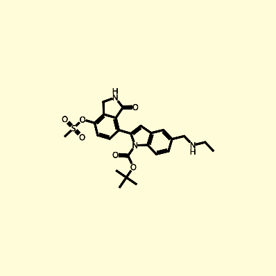 CCNCc1ccc2c(c1)cc(-c1ccc(OS(C)(=O)=O)c3c1C(=O)NC3)n2C(=O)OC(C)(C)C